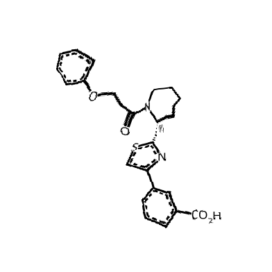 O=C(O)c1cccc(-c2csc([C@H]3CCCCN3C(=O)COc3ccccc3)n2)c1